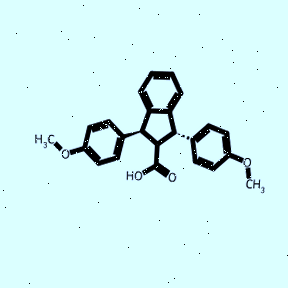 COc1ccc([C@H]2c3ccccc3[C@H](c3ccc(OC)cc3)C2C(=O)O)cc1